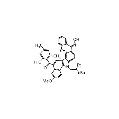 CCCCC(CC)Cn1c2ccc(/C(=N/O)c3ccccc3C)cc2c2cc(C(=O)c3c(C)cc(C)cc3C)c3cc(OC)ccc3c21